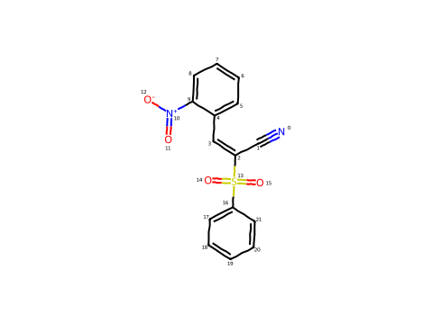 N#CC(=Cc1ccccc1[N+](=O)[O-])S(=O)(=O)c1ccccc1